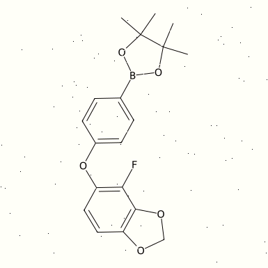 CC1(C)OB(c2ccc(Oc3ccc4c(c3F)OCO4)cc2)OC1(C)C